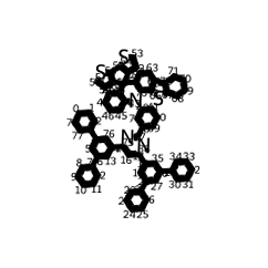 c1ccc(-c2cc(-c3ccccc3)cc(-c3cc(-c4cc(-c5ccccc5)cc(-c5ccccc5)c4)nc(-c4cccc(N5c6ccccc6C6(c7ccsc7-c7sccc76)c6ccc7c(sc8ccccc87)c65)c4)n3)c2)cc1